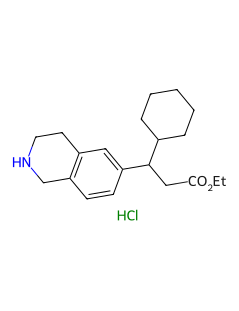 CCOC(=O)CC(c1ccc2c(c1)CCNC2)C1CCCCC1.Cl